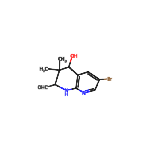 CC1(C)C(C=O)Nc2ncc(Br)cc2C1O